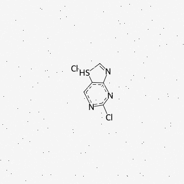 Clc1ncc2c(n1)N=C[SH]2Cl